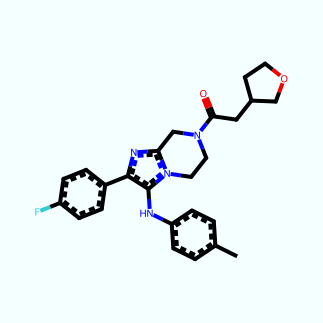 Cc1ccc(Nc2c(-c3ccc(F)cc3)nc3n2CCN(C(=O)CC2CCOC2)C3)cc1